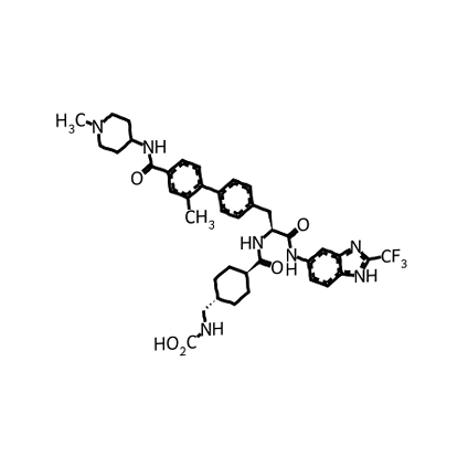 Cc1cc(C(=O)NC2CCN(C)CC2)ccc1-c1ccc(C[C@H](NC(=O)[C@H]2CC[C@H](CNC(=O)O)CC2)C(=O)Nc2ccc3[nH]c(C(F)(F)F)nc3c2)cc1